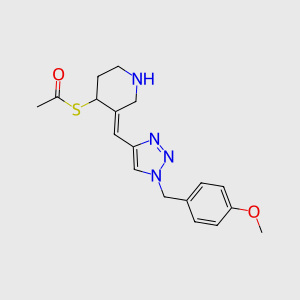 COc1ccc(Cn2cc(C=C3CNCCC3SC(C)=O)nn2)cc1